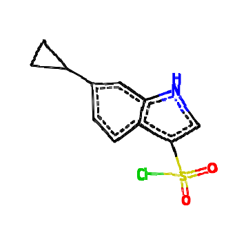 O=S(=O)(Cl)c1c[nH]c2cc(C3CC3)ccc12